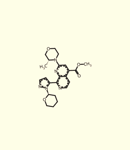 COC(=O)c1cc(N2CCOC[C@H]2C)nc2c(-c3ccnn3[C@H]3CCCCO3)nccc12